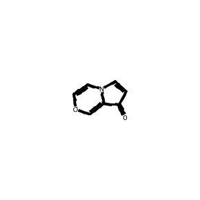 O=c1ccn2ccocc1-2